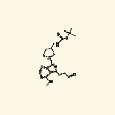 CNc1ncnc2c1c(CCC=O)cn2[C@H]1CCC(CNC(=O)OC(C)(C)C)C1